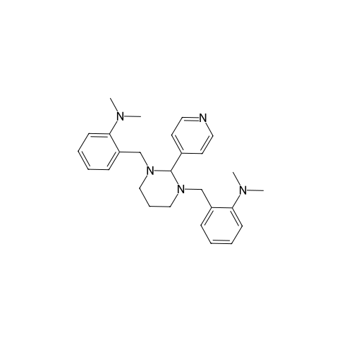 CN(C)c1ccccc1CN1CCCN(Cc2ccccc2N(C)C)C1c1ccncc1